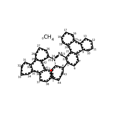 C.c1ccc(-c2ccc3c4ccccc4c4ccccc4c3c2N=Nc2cccc3c4ccccc4c4ccccc4c23)cc1